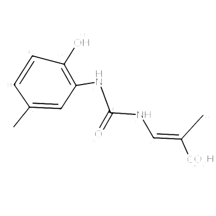 CC(=CNC(=O)Nc1cc(C)ccc1O)C(=O)O